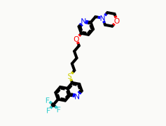 FC(F)(F)c1ccc2c(SCCCCCOc3ccc(CN4CCOCC4)nc3)ccnc2c1